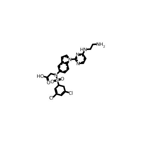 NCCNc1ccnc(-n2ccc3cc(N(CC(=O)O)S(=O)(=O)C4C=C(Cl)C=C(Cl)C4)ccc32)n1